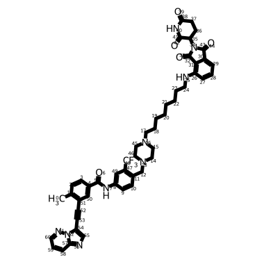 Cc1ccc(C(=O)Nc2ccc(CN3CCN(CCCCCCCCNc4cccc5c4C(=O)N(C4CCC(=O)NC4=O)C5=O)CC3)c(C(F)(F)F)c2)cc1C#Cc1cnc2cccnn12